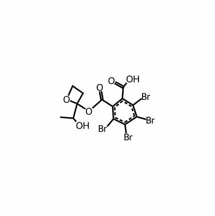 CC(O)C1(OC(=O)c2c(Br)c(Br)c(Br)c(Br)c2C(=O)O)CCO1